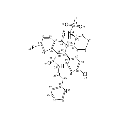 CS(=O)(=O)N[C@H]1CCCC[C@@H]1N1C(=O)c2ccc(F)cc2[C@@H](C(=O)NOCc2ccccn2)[C@@H]1c1ccc(Cl)cc1